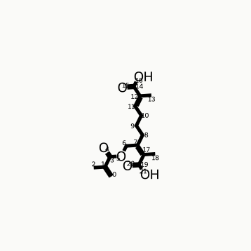 C=C(C)C(=O)OC/C(CCC/C=C(\C)C(=O)O)=C(/C)C(=O)O